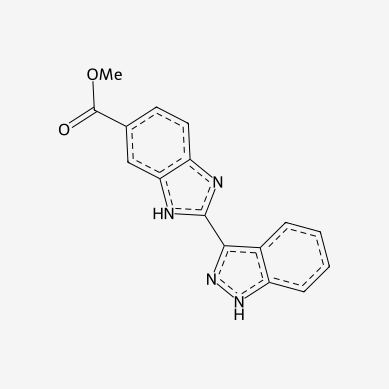 COC(=O)c1ccc2nc(-c3n[nH]c4ccccc34)[nH]c2c1